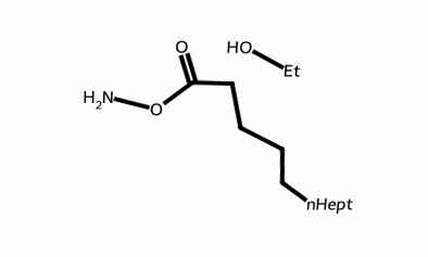 CCCCCCCCCCCC(=O)ON.CCO